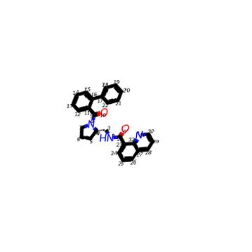 O=C(NC[C@@H]1CCCN1C(=O)c1ccccc1-c1ccccc1)c1cccc2cccnc12